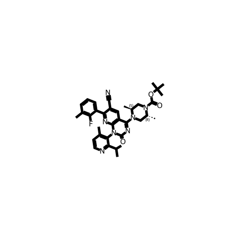 Cc1cccc(-c2nc3c(cc2C#N)c(N2C[C@@H](C)N(C(=O)OC(C)(C)C)C[C@@H]2C)nc(=O)n3-c2c(C)ccnc2C(C)C)c1F